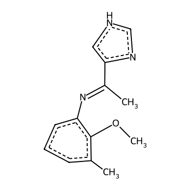 COc1c(C)cccc1N=C(C)c1c[nH]cn1